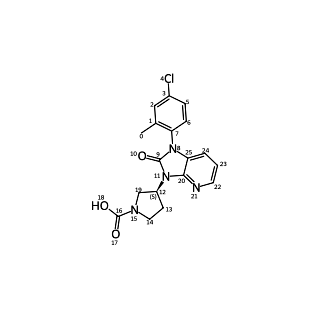 Cc1cc(Cl)ccc1-n1c(=O)n([C@H]2CCN(C(=O)O)C2)c2ncccc21